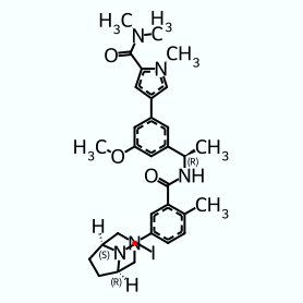 COc1cc(-c2cc(C(=O)N(C)C)n(C)c2)cc([C@@H](C)NC(=O)c2cc(N3C[C@H]4CC[C@@H](C3)N4CI)ccc2C)c1